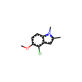 COc1ccc2c(cc(C)n2C)c1Cl